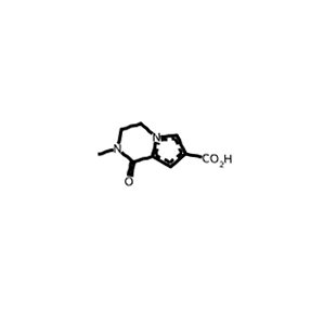 CN1CCn2cc(C(=O)O)cc2C1=O